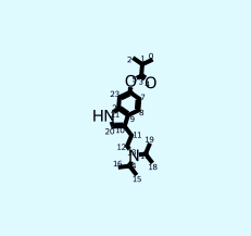 CC(C)C(=O)Oc1ccc2c(CCN(C(C)C)C(C)C)c[nH]c2c1